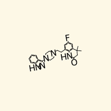 CC1(C)CC(=O)Nc2c(CCN3CCN(c4n[nH]c5ccccc45)CC3)cc(F)cc21